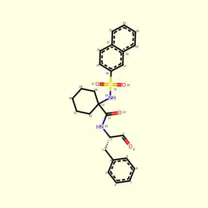 O=C[C@H](Cc1ccccc1)NC(=O)C1(NS(=O)(=O)c2ccc3ccccc3c2)CCCCC1